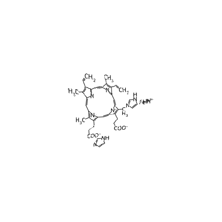 C=CC1=C(C)c2cc3[n-]c(cc4[n-]c(cc5nc(cc1n2)C(C)=C5C=C)c(C)c4CCC(=O)[O-])c(CCC(=O)[O-])c3C.[Fe+3].[H+].[H+].c1c[nH]cn1.c1c[nH]cn1